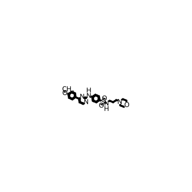 COc1ccc(-c2ccnc(Nc3ccc(S(=O)(=O)NCCCN4CCOCC4)cc3)n2)cc1